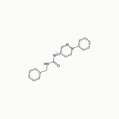 O=C(/N=c1\ccn(-c2ccccc2)nc1)NCc1ccccc1